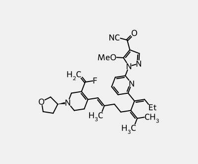 C=C(F)C1=C(/C=C(\C)CCC(=C(C)C)/C(=C\CC)c2cccc(-n3ncc(C(=O)C#N)c3OC)n2)CCN([C@H]2CCOC2)C1